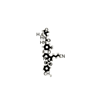 Cc1ccc(S(=O)(=O)n2cc(CCCC#N)c3c(Oc4c(F)cc(NC(=O)NCC5(C)COC5)cc4F)ccnc32)cc1